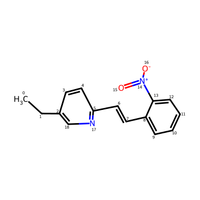 CCc1ccc(C=Cc2ccccc2[N+](=O)[O-])nc1